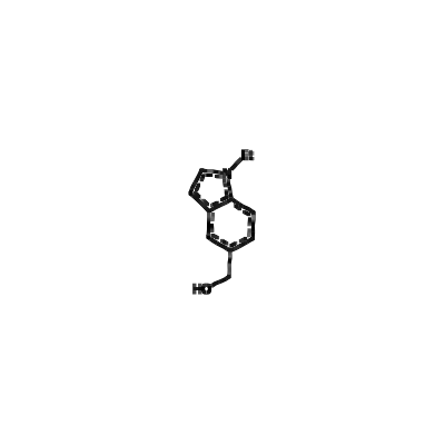 CCn1ccc2cc(CO)ccc21